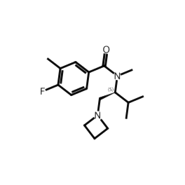 Cc1cc(C(=O)N(C)[C@H](CN2CCC2)C(C)C)ccc1F